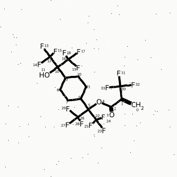 C=C(C(=O)OC(C1CCC(C(O)(C(F)(F)F)C(F)(F)F)CC1)(C(F)(F)F)C(F)(F)F)C(F)(F)F